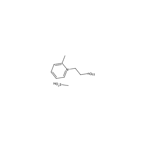 CCCCCCCCCC[n+]1ccccc1C.CS(=O)(=O)O